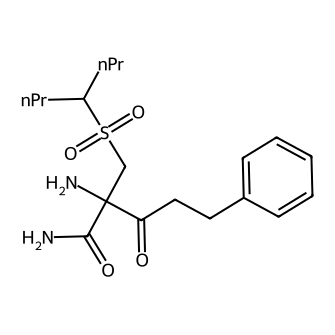 CCCC(CCC)S(=O)(=O)CC(N)(C(N)=O)C(=O)CCc1ccccc1